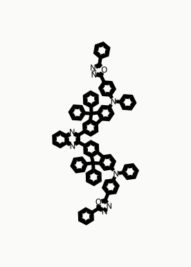 c1ccc(-c2nnc(-c3ccc(N(c4ccccc4)c4ccc5c(c4)C(c4ccccc4)(c4ccccc4)c4cc(-c6nc7ccccc7nc6-c6ccc7c(c6)C(c6ccccc6)(c6ccccc6)c6cc(N(c8ccccc8)c8ccc(-c9nnc(-c%10ccccc%10)o9)cc8)ccc6-7)ccc4-5)cc3)o2)cc1